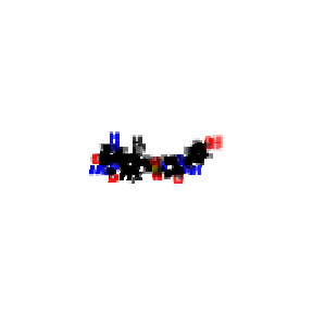 Cc1cc(N2C(=O)NC(=O)C23CCNCC3)cc(C)c1CCS(=O)(=O)N1CCC2(CC1)N=C(c1ccc(O)cc1)NC2=O